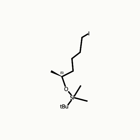 C[C@@H](CCCCI)O[Si](C)(C)C(C)(C)C